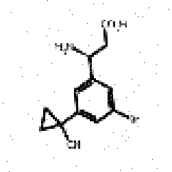 N#CC1(c2cc(Br)cc([C@@H](N)CC(=O)O)c2)CC1